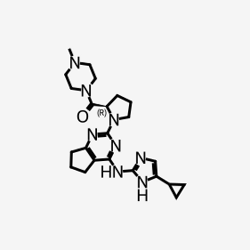 CN1CCN(C(=O)[C@H]2CCCN2c2nc3c(c(Nc4ncc(C5CC5)[nH]4)n2)CCC3)CC1